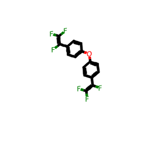 FC(F)=C(F)c1ccc(Oc2ccc(C(F)=C(F)F)cc2)cc1